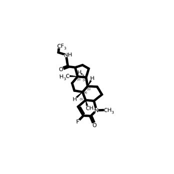 CN1C(=O)C(F)=C[C@@]2(C)C1CC[C@@H]1[C@H]2CC[C@]2(C)C(C(=O)NCC(F)(F)F)CC[C@@H]12